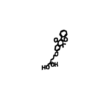 CC1(C)c2cc(OCCC[C@H](O)CO)ccc2C(=O)c2c1oc1c2=CC=CCC=1